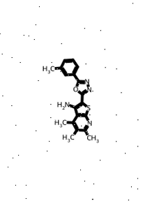 Cc1cccc(-c2nnc(-c3sc4nc(C)c(C)c(C)c4c3N)o2)c1